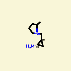 CC1CCCN1C[C@H]1C[C@@H]1N